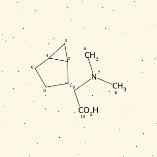 C1CC2CC2C1.CN(C)CC(=O)O